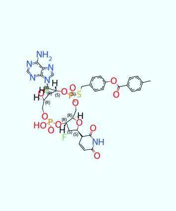 Cc1ccc(C(=O)Oc2ccc(CS[P@@]3(=O)OC[C@H]4O[C@@H](C5C=CC(=O)NC5=O)[C@H](F)[C@@H]4OP(=O)(O)OC[C@H]4O[C@@H](n5cnc6c(N)ncnc65)[C@H](O3)[C@@H]4F)cc2)cc1